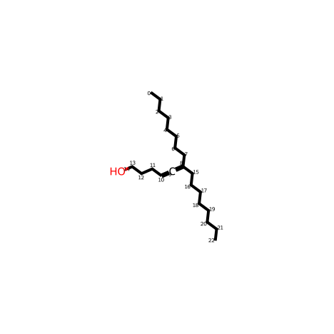 CCCCCCCCC(=C=CCCCO)CCCCCCCC